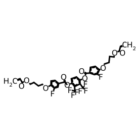 C=CC(=O)OCCCCOc1ccc(C(=O)Oc2ccc(OC(=O)c3ccc(OCCCCOC(=O)C=C)c(F)c3)c(C(F)(F)F)c2C(F)(F)F)cc1F